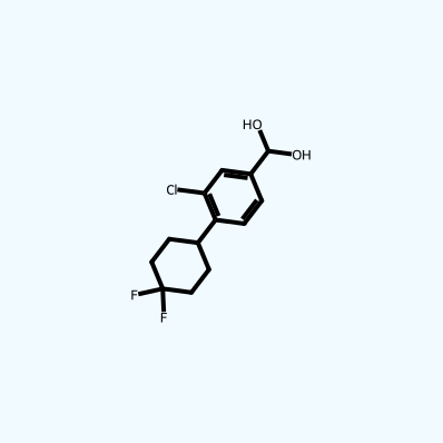 OC(O)c1ccc(C2CCC(F)(F)CC2)c(Cl)c1